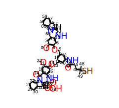 COc1cc2c(cc1OCc1cc(COc3cc4c(cc3OC)C(=O)N3c5ccccc5C[C@H]3C(S(=O)(=O)O)N4)cc(NC(=O)CCC(C)(C)S)c1)NC[C@@H]1Cc3ccccc3N1C2